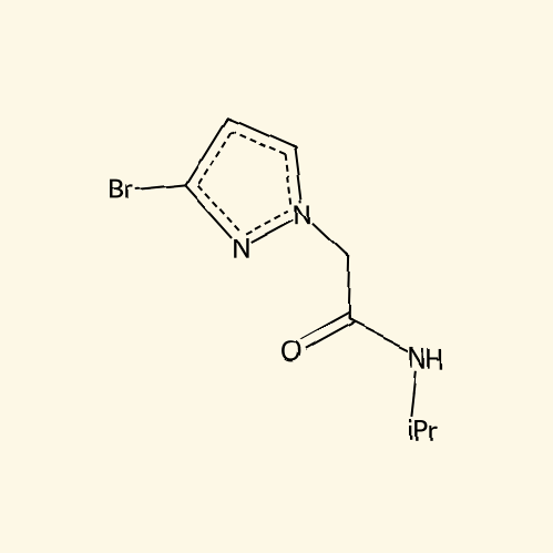 CC(C)NC(=O)Cn1ccc(Br)n1